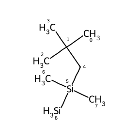 CC(C)(C)C[Si](C)(C)[SiH3]